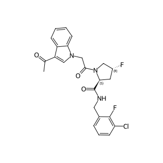 CC(=O)c1cn(CC(=O)N2C[C@H](F)C[C@H]2C(=O)NCc2cccc(Cl)c2F)c2ccccc12